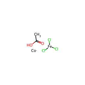 CC(=O)O.[Cl][Fe]([Cl])[Cl].[Co]